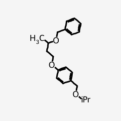 CC(C)OCc1ccc(OCCC(C)OCc2ccccc2)cc1